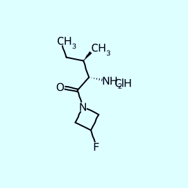 CC[C@@H](C)[C@H](N)C(=O)N1CC(F)C1.Cl